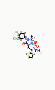 CN1[C@@H](c2cccs2)C[C@@H](C(=O)Nc2ccc(F)c(Cl)c2)N(C)S1(=O)=O